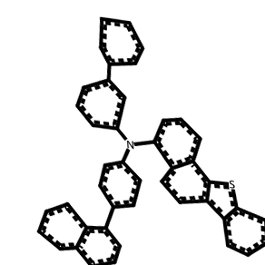 c1ccc(-c2cccc(N(c3ccc(-c4cccc5ccccc45)cc3)c3cccc4c3ccc3c5ccccc5sc43)c2)cc1